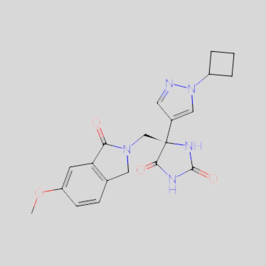 COc1ccc2c(c1)C(=O)N(C[C@@]1(c3cnn(C4CCC4)c3)NC(=O)NC1=O)C2